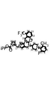 Cc1cccc(F)c1N1CCC(N2Cc3cn(C[C@@H]4CCN4C(=O)OC(C)C)nc3N(Cc3ccccc3C(F)(F)F)C2=O)CC1